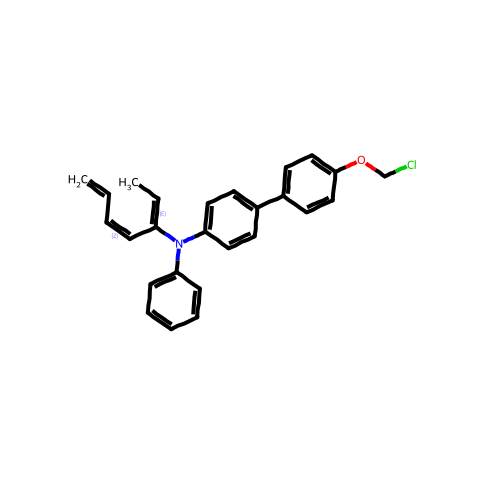 C=C/C=C\C(=C/C)N(c1ccccc1)c1ccc(-c2ccc(OCCl)cc2)cc1